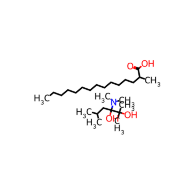 CC(C)CC(O)(N(C)C)C(C)(C)O.CCCCCCCCCCCCCC(C)C(=O)O